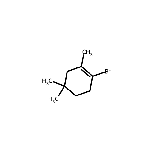 CC1=C(Br)CCC(C)(C)C1